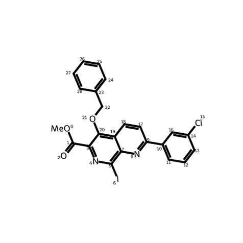 COC(=O)c1nc(I)c2nc(-c3cccc(Cl)c3)ccc2c1OCc1ccccc1